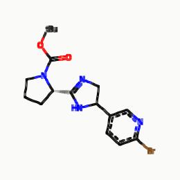 CC(C)(C)OC(=O)N1CCC[C@H]1C1=NCC(c2ccc(Br)nc2)N1